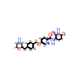 O=C1CCC(NC(=O)c2ccc(OCc3ccc(CC4CNCCO4)cc3)cn2)C(=O)N1